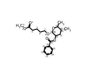 COC(=O)CCCCO[C@@H]1OC(C)[C@H](C)CC1OC(=O)c1ccccc1